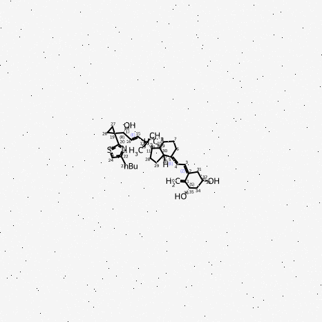 C=C1/C(=C\C=C2/CCC[C@]3(C)[C@@H](C(C)(C)/C=C/[C@@H](O)C4(c5nc(CCCC)cs5)CC4)CC[C@@H]23)C[C@@H](O)C[C@@H]1O